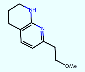 COCCc1ccc2c(n1)NCCC2